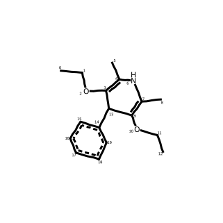 CCOC1=C(C)NC(C)=C(OCC)C1c1ccccc1